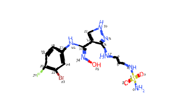 NS(=O)(=O)NCCNc1n[nH]cc1C(=NO)Nc1ccc(F)c(Br)c1